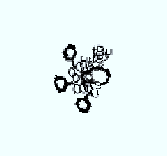 C[C@@H]1C=CCCS[C@H]2O[C@H]([C@@H]1N[S@+]([O-])C(C)(C)C)[C@H](OC(=O)c1ccccc1)[C@H](OC(=O)c1ccccc1)[C@H]2OC(=O)c1ccccc1